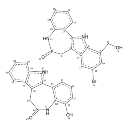 O=C1Cc2c([nH]c3c(CO)cc(Br)cc23)-c2ccccc2N1.O=C1Cc2c([nH]c3ccccc23)-c2cccc(O)c2N1